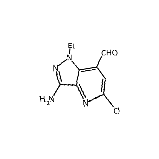 CCn1nc(N)c2nc(Cl)cc(C=O)c21